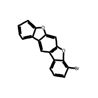 Brc1cccc2c1oc1cc3oc4ccccc4c3cc12